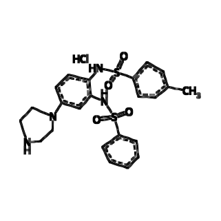 Cc1ccc(S(=O)(=O)Nc2ccc(N3CCNCC3)cc2NS(=O)(=O)c2ccccc2)cc1.Cl